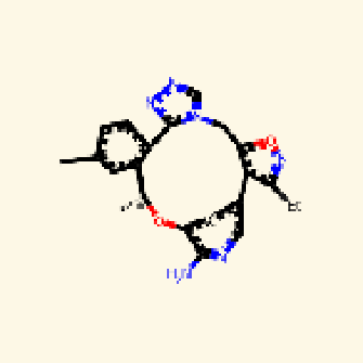 CCc1noc2c1-c1cnc(N)c(c1)O[C@H](C)c1cc(C)ccc1-c1nncn1C2